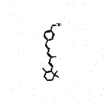 CC1=C(/C=C/C(C)=C/C=C/c2ccc(CO)cc2)C(C)(C)CCC1